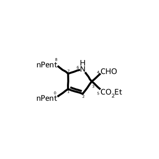 CCCCCC1=CC(C=O)(C(=O)OCC)NC1CCCCC